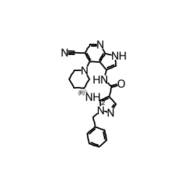 N#Cc1cnc2[nH]cc(NC(=O)c3cnn(Cc4ccccc4)c3)c2c1N1CCC[C@@H](N)C1